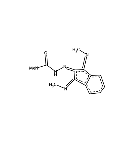 CN=c1c(=NNC(=O)NC)c(=NC)c2ccccc12